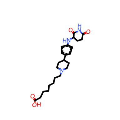 O=C(O)CCCCCCCN1CCC(c2ccc(NC3CCC(=O)NC3=O)cc2)CC1